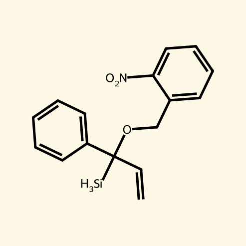 C=CC([SiH3])(OCc1ccccc1[N+](=O)[O-])c1ccccc1